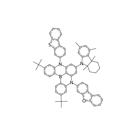 Cc1cc(C)c2c(c1)N(c1cc3c4c(c1)N(c1ccc5c(c1)sc1ccccc15)c1cc(C(C)(C)C)ccc1B4c1ccc(C(C)(C)C)cc1N3c1ccc3c(c1)oc1ccccc13)C1(C)CCCCC21C